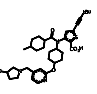 CC1CCC(C(=O)N(c2cc(C#CC(C)(C)C)sc2C(=O)O)C2CCC(Oc3cc(CN4CCC(O)C4)ccn3)CC2)CC1